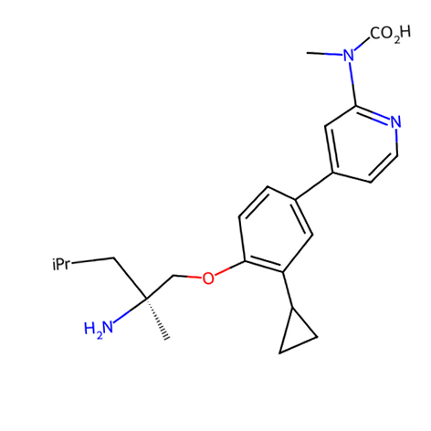 CC(C)C[C@](C)(N)COc1ccc(-c2ccnc(N(C)C(=O)O)c2)cc1C1CC1